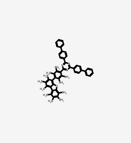 Bc1c(B)c(-c2c(B)c(B)c(B)c3c2oc2c(B)c(B)c(B)c(B)c23)c(B)c(B)c1-c1nc(-c2ccc(-c3ccccc3)cc2)nc(-c2ccc(-c3ccccc3)cc2)n1